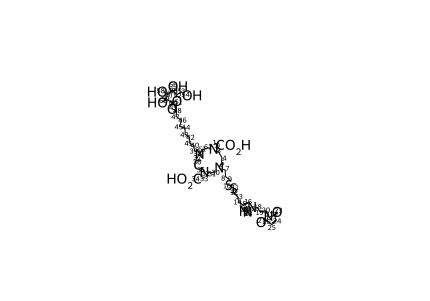 O=C(O)CN1CCCN(CCCSSCCCc2cn(CCCN3C(=O)C=CC3=O)nn2)CCN(CC(=O)O)CCCN(CCCCCCCCCCO[C@@H]2OC(CO)[C@@H](O)[C@H](O)C2O)CC1